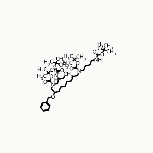 CCC(CN(CC(CCCCCCCN(CCCCNC(=O)OC(C)(C)C)C(=O)OC(C)(C)C)OCc1ccccc1)C(=O)OC(C)(C)C)NC(=O)OC(C)(C)C